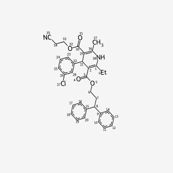 CCC1=C(C(=O)OCCC(c2ccccc2)c2ccccc2)C(c2cccc(Cl)c2)C(C(=O)OCCC#N)=C(C)N1